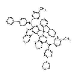 Cc1ccc(N(c2ccc(-c3ccccc3)cc2)c2cc3c(c4ccccc24)-c2c(cc(N(c4ccc(-c5ccccc5)cc4)c4ccc(C)nc4)c4oc5ccccc5c24)C32c3ccccc3-c3ccccc32)cn1